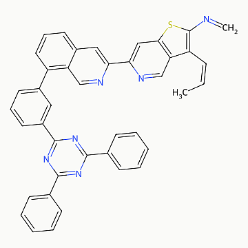 C=Nc1sc2cc(-c3cc4cccc(-c5cccc(-c6nc(-c7ccccc7)nc(-c7ccccc7)n6)c5)c4cn3)ncc2c1/C=C\C